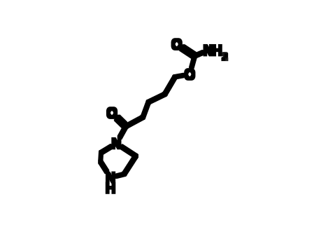 NC(=O)OCCCCC(=O)N1CCNCC1